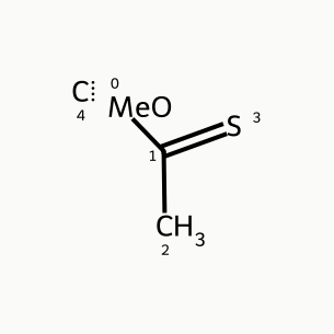 COC(C)=S.[C]